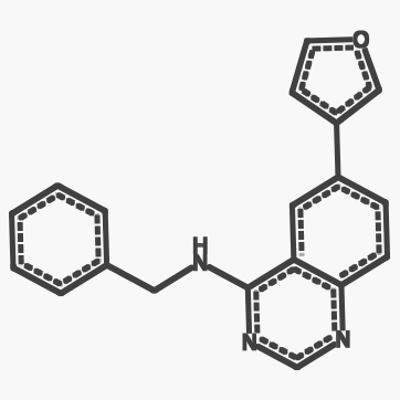 c1ccc(CNc2ncnc3ccc(-c4ccoc4)cc23)cc1